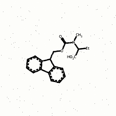 CCC(C(=O)O)N(C)C(=O)OCC1c2ccccc2-c2ccccc21